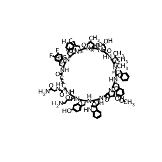 CCCC[C@H]1C(=O)N2C[C@@H](C)C[C@@H]2C(=O)N[C@@H](CC(=O)O)C(=O)N[C@@H](C(C)C)C(=O)N(C)[C@H](Cc2ccccc2)C(=O)N[C@@H](Cc2ccc(OC)cc2)C(=O)N2C[C@@H](O)C[C@@H]2C(=O)N[C@@H](Cc2c[nH]c3ccccc23)C(=O)N[C@@H](Cc2ccc(O)cc2)C(=O)N[C@@H](CCCN)C(=O)N[C@H](C(=O)NCC(N)=O)CSCC(=O)N[C@@H](Cc2ccc(F)c(F)c2)C(=O)N(C)[C@@H](Cc2ccccc2)C(=O)N1C